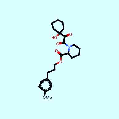 COc1ccc(CCCOC(=O)C2CCCCN2C(=O)C(=O)C2(O)CCCCC2)cc1